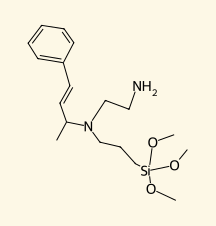 CO[Si](CCCN(CCN)C(C)C=Cc1ccccc1)(OC)OC